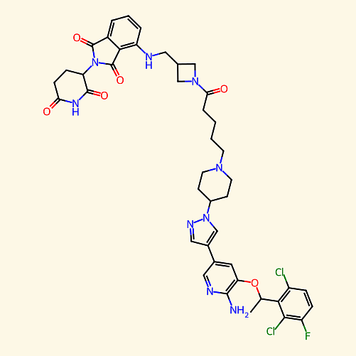 CC(Oc1cc(-c2cnn(C3CCN(CCCCC(=O)N4CC(CNc5cccc6c5C(=O)N(C5CCC(=O)NC5=O)C6=O)C4)CC3)c2)cnc1N)c1c(Cl)ccc(F)c1Cl